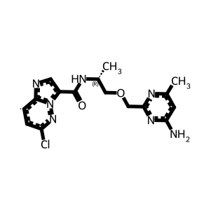 Cc1cc(N)nc(COC[C@@H](C)NC(=O)c2cnc3[c]cc(Cl)nn23)n1